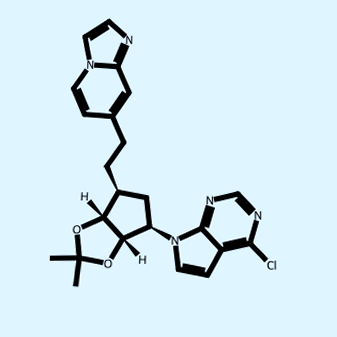 CC1(C)O[C@@H]2[C@@H](CCc3ccn4ccnc4c3)C[C@@H](n3ccc4c(Cl)ncnc43)[C@@H]2O1